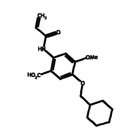 C=CC(=O)Nc1cc(OC)c(OCC2CCCCC2)cc1C(=O)O